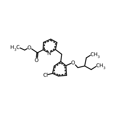 CCOC(=O)c1cccc(Cc2cc(Cl)ccc2OCC(CC)CC)n1